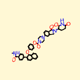 CNC(=O)c1ccc(-c2ccc3ccccc3c2Oc2ccc(OC(=O)N3CCN(c4ccc5c(c4)CN(C4CCC(=O)NC4=O)C5=O)CC3)cc2)cc1